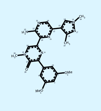 COc1cc(OC)cc(-c2nc(-c3nc(-c4cn(C)nc4C)cnc3N)cn(C)c2=O)c1